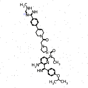 CCN(C(=O)[C@@H]1CCN(CC(=O)N2CC=C(c3ccc(C(=N)/N=C\NC)cc3)CC2)C1)c1ccc(N)c(C(=N)c2ccc(OC(C)C)cc2)n1